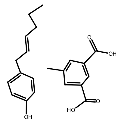 CCCC=CCc1ccc(O)cc1.Cc1cc(C(=O)O)cc(C(=O)O)c1